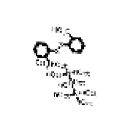 CCCCCCCC[N+](CCCCCCCC)(CCCCCCCC)CCCCCCCC.CCCCCCCC[N+](CCCCCCCC)(CCCCCCCC)CCCCCCCC.O=C(O)c1ccccc1SSc1ccccc1C(=O)O